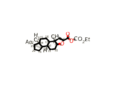 CCOC(=O)OC(=O)CC[C@@]1(C)C(=O)CC[C@@H]2C1CC[C@@]1(C)C2CC[C@@H]1C(C)=O